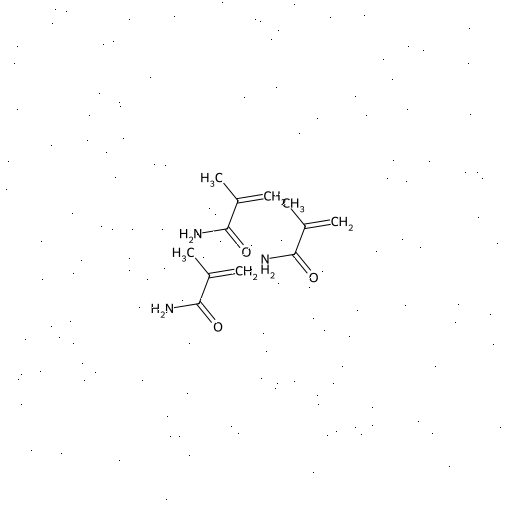 C=C(C)C(N)=O.C=C(C)C(N)=O.C=C(C)C(N)=O